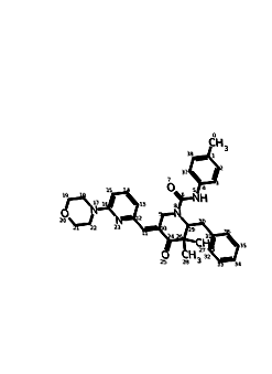 Cc1ccc(NC(=O)N2C/C(=C\c3cccc(N4CCOCC4)n3)C(=O)C(C)(C)C2Cc2ccccc2)cc1